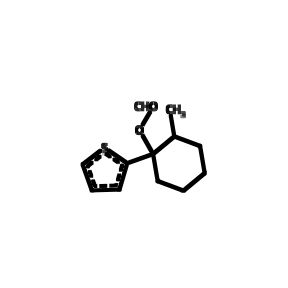 CC1CCCCC1(OC=O)c1cccs1